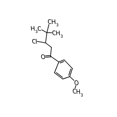 COc1ccc(C(=O)CC(Cl)C(C)(C)C)cc1